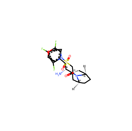 N[C@H](Cc1cc(F)c(F)cc1F)[C@@H]1C[C@H]2CC[C@@H](C1)N2C(=O)CS(=O)(=O)N1CCOCC1